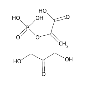 C=C(OP(=O)(O)O)C(=O)O.O=C(CO)CO